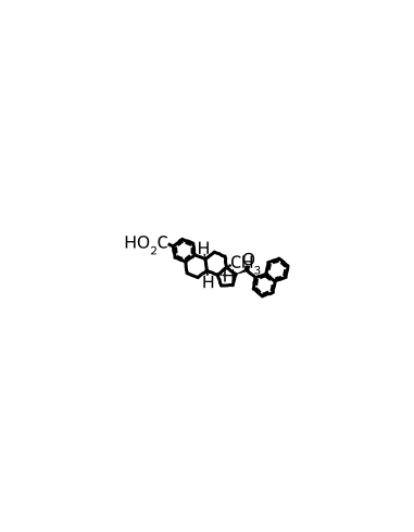 C[C@]12CC[C@@H]3c4ccc(C(=O)O)cc4CC[C@H]3[C@@H]1CC[C@@H]2C(=O)c1cccc2ccccc12